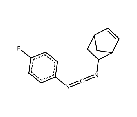 Fc1ccc(N=C=NC2CC3C=CC2C3)cc1